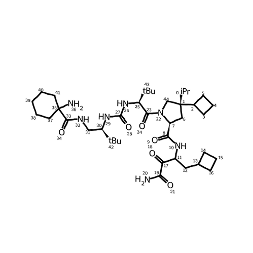 CC(C)[C@@]1(C2CCC2)C[C@@H](C(=O)NC(CC2CCC2)C(=O)C(N)=O)N(C(=O)[C@@H](NC(=O)N[C@H](CNC(=O)C2(N)CCCCC2)C(C)(C)C)C(C)(C)C)C1